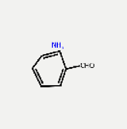 N.O=Cc1ccccc1